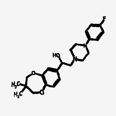 CC1(C)COc2ccc(C(O)CN3CCN(c4ccc(F)cc4)CC3)cc2OC1